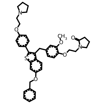 COc1cc(Cc2c(-c3ccc(OCCN4CCCC4)cc3)sc3cc(OCc4ccccc4)ccc23)ccc1OCCN1CCCC1=O